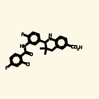 CC1(C)Cc2cc(C(=O)O)ccc2NC1c1ccc(F)c(NC(=O)c2ccc(F)cc2Cl)c1